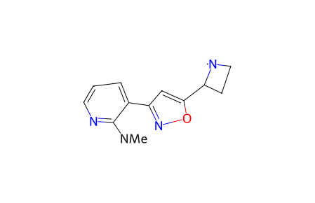 CNc1ncccc1-c1cc(C2CC[N]2)on1